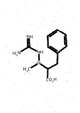 CN(NC(=N)N)C(Cc1ccccc1)C(=O)O